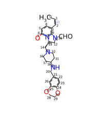 C/C=C\c1ccc(=O)n2c1N(C=O)C[C@H]2CN1CCC(NCc2ccc3c(c2)OCCO3)CC1